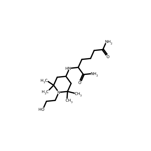 CC1(C)CC(NC(CCCC(N)=O)C(N)=O)CC(C)(C)N1CCO